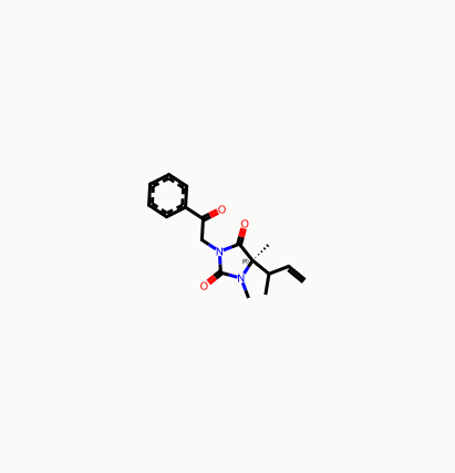 C=CC(C)[C@]1(C)C(=O)N(CC(=O)c2ccccc2)C(=O)N1C